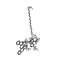 CCCCCCCCCCCCCCCCCCN.COc1ccc2c3c1O[C@H]1C(=O)CC[C@H]4[C@@H](C2)N(C)CC[C@]314.O=C(O)c1cc2ccccc2c(Cc2c(O)c(C(=O)O)cc3ccccc23)c1O